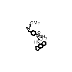 COCCN(C)Cc1ccc([S@](N)(=O)=NC(=O)Nc2c3c(cc4c2CCC4)CCC3)cc1